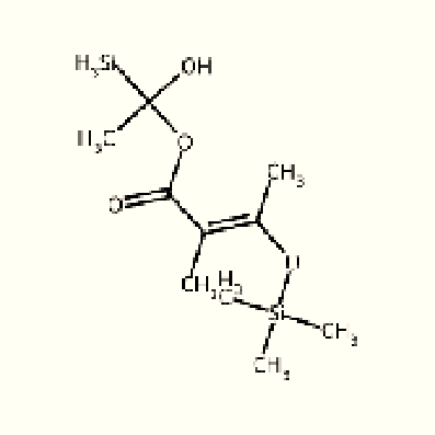 CC(O[Si](C)(C)C)=C(C)C(=O)OC(C)(O)[SiH3]